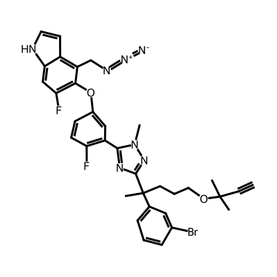 C#CC(C)(C)OCCCC(C)(c1cccc(Br)c1)c1nc(-c2cc(Oc3c(F)cc4[nH]ccc4c3CN=[N+]=[N-])ccc2F)n(C)n1